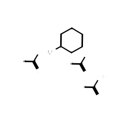 CC(=O)[O-].CC(=O)[O-].CC(=O)[O-].[Mo+3][CH]1CCCCC1